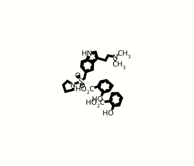 CN(C)CCc1c[nH]c2ccc(CS(=O)(=O)N3CCCC3)cc12.O=C(O)c1ccccc1O.O=C(O)c1ccccc1O